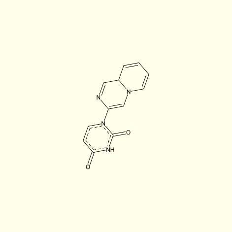 O=c1ccn(C2=CN3C=CC=CC3C=N2)c(=O)[nH]1